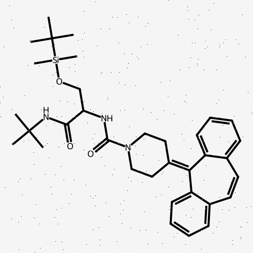 CC(C)(C)NC(=O)C(CO[Si](C)(C)C(C)(C)C)NC(=O)N1CCC(=C2c3ccccc3C=Cc3ccccc32)CC1